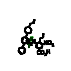 C=CCC1CC=C(c2ccc(-c3ccccc3)c(F)c2F)CC1.C=CCc1c([N+](=O)[O-])cc(C(=O)O)cc1[N+](=O)[O-]